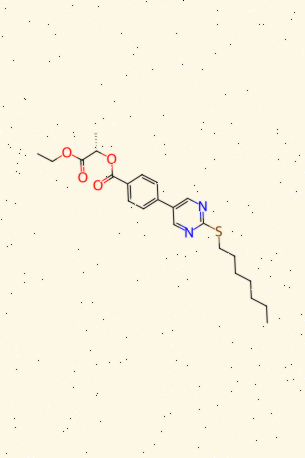 CCCCCCCSc1ncc(-c2ccc(C(=O)O[C@@H](C)C(=O)OCC)cc2)cn1